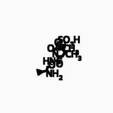 CC1(C)C[C@@H](C(=O)NOCC(N)C2CC2)N2C[C@@H]1N(OS(=O)(=O)O)C2=O